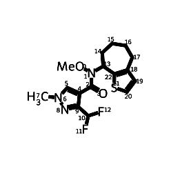 CON(C(=O)c1cn(C)nc1C(F)F)C1CCCCc2ccsc21